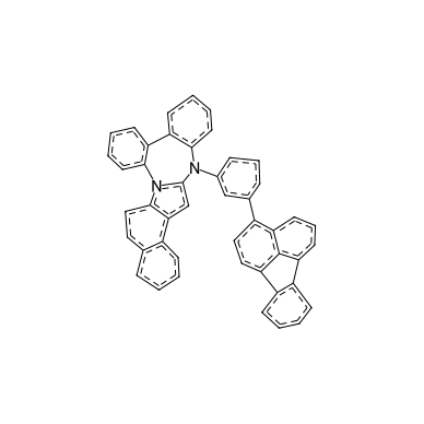 c1cc(-c2ccc3c4c(cccc24)-c2ccccc2-3)cc(N2c3ccccc3-c3ccccc3-n3c2cc2c4ccccc4ccc23)c1